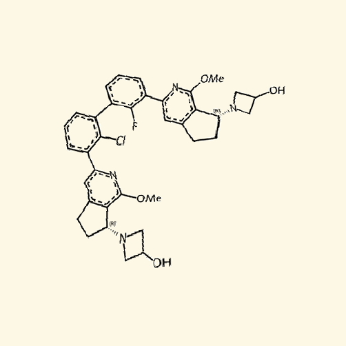 COc1nc(-c2cccc(-c3cccc(-c4cc5c(c(OC)n4)[C@H](N4CC(O)C4)CC5)c3Cl)c2F)cc2c1[C@H](N1CC(O)C1)CC2